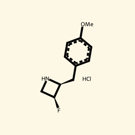 COc1ccc(C[C@@H]2NC[C@@H]2F)cc1.Cl